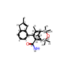 CC1=Cc2c(cccc2-c2c(C)c3c(C)c(c2C([NH])=O)[Si](C)(C)O[Si]3(C)C)C1